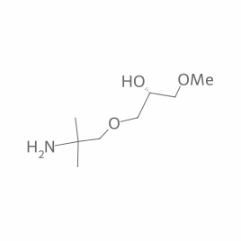 COC[C@@H](O)COCC(C)(C)N